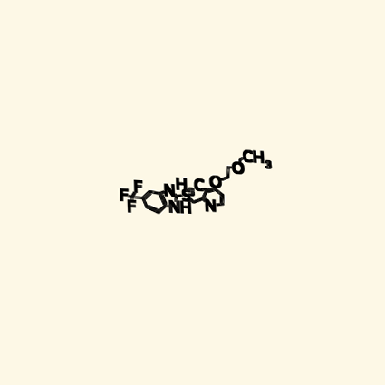 CCOCCOc1ccnc(CSc2nc3cc(C(F)(F)F)ccc3[nH]2)c1C